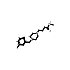 CNC(=O)CCCN1CCN(Cc2cccc(C)c2)CC1